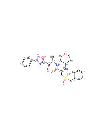 CCC(NC(=O)[C@H](CS(=O)(=O)Cc1ccccc1)NC1CCOCC1)C(=O)c1nc(-c2ccccc2)no1